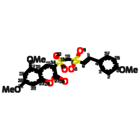 COc1ccc(/C=C/S(=O)(=O)CS(=O)(=O)c2cc3c(OC)cc(OC)cc3oc2=O)cc1